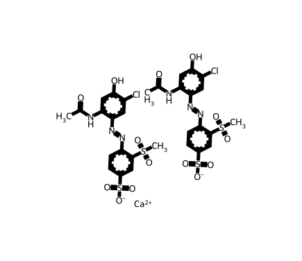 CC(=O)Nc1cc(O)c(Cl)cc1N=Nc1ccc(S(=O)(=O)[O-])cc1S(C)(=O)=O.CC(=O)Nc1cc(O)c(Cl)cc1N=Nc1ccc(S(=O)(=O)[O-])cc1S(C)(=O)=O.[Ca+2]